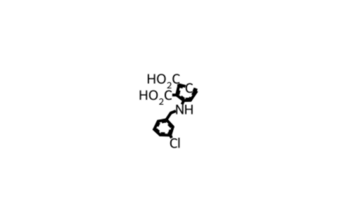 O=C(O)c1cccc(NCc2cccc(Cl)c2)c1C(=O)O